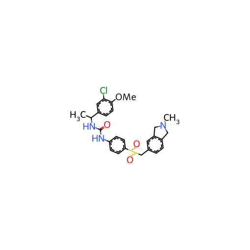 COc1ccc(C(C)NC(=O)Nc2ccc(S(=O)(=O)Cc3ccc4c(c3)CN(C)C4)cc2)cc1Cl